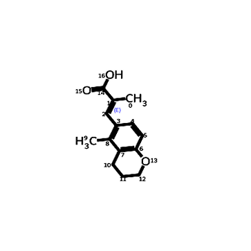 C/C(=C\c1ccc2c(c1C)CCCO2)C(=O)O